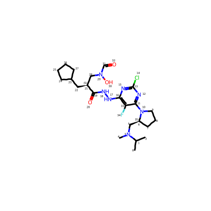 CC(C)N(C)C[C@@H]1CCCN1c1nc(Cl)nc(NNC(=O)[C@@H](CC2CCCC2)CN(O)C=O)c1F